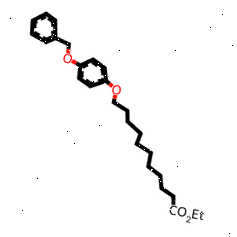 CCOC(=O)CCCCCCCCCCOc1ccc(OCc2ccccc2)cc1